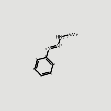 CSNN=Nc1ccccc1